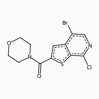 O=C(c1cc2c(Br)cnc(Cl)c2s1)N1CCOCC1